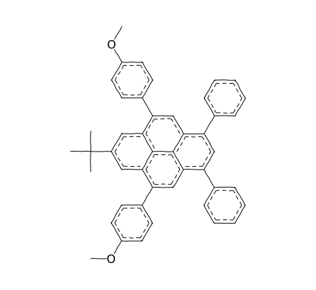 COc1ccc(-c2cc3c(-c4ccccc4)cc(-c4ccccc4)c4cc(-c5ccc(OC)cc5)c5cc(C(C)(C)C)cc2c5c34)cc1